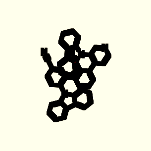 N#Cc1ccc(-n2c3ccccc3c3ccccc32)c(-c2cccc(-c3ccncc3-n3c4ccccc4c4ccccc43)c2C#N)c1